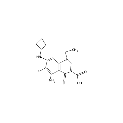 CCn1cc(C(=O)O)c(=O)c2c(N)c(F)c(NC3CCC3)cc21